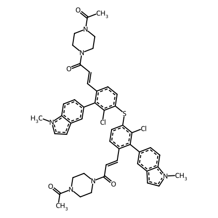 CC(=O)N1CCN(C(=O)/C=C/c2ccc(Sc3ccc(/C=C/C(=O)N4CCN(C(C)=O)CC4)c(-c4ccc5c(ccn5C)c4)c3Cl)c(Cl)c2-c2ccc3c(ccn3C)c2)CC1